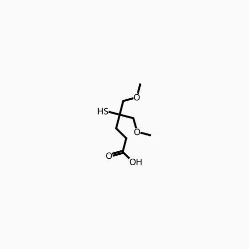 COCC(S)(CCC(=O)O)COC